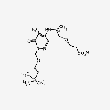 C[C@@H](COCCC(=O)O)Nc1cnn(COCC[Si](C)(C)C)c(=O)c1C(F)(F)F